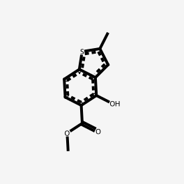 COC(=O)c1ccc2sc(C)cc2c1O